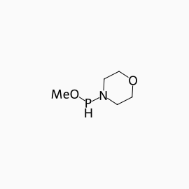 COPN1CCOCC1